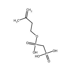 C=C(C)CCOP(=O)(O)CP(=O)(O)O